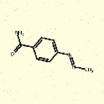 C/N=N/c1ccc(C(N)=O)cc1